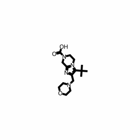 CC(C)(C)c1c(CN2CCOCC2)nc2n1CCN(C(=O)O)C2